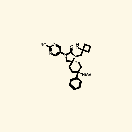 CN[C@]1(c2ccccc2)CC[C@]2(CC1)CN(c1cnc(C#N)nc1)C(=O)N2CC1(O)CCC1